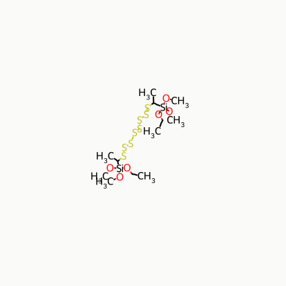 CCO[Si](OC)(OC)C(C)SSSSSSSSC(C)[Si](OC)(OC)OCC